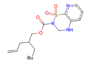 C=CCC(COC(=O)N1CNc2cccnc2S1(=O)=O)CC(C)CC